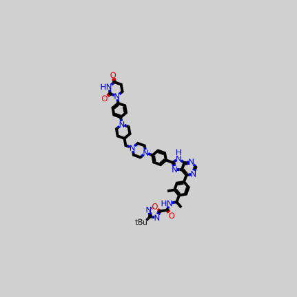 Cc1cc(-c2ncnc3[nH]c(-c4ccc(N5CCN(CC6CCN(c7ccc(N8CCC(=O)NC8=O)cc7)CC6)CC5)cc4)nc23)ccc1C(C)NC(=O)c1nc(C(C)(C)C)no1